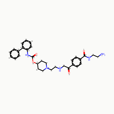 NCCNC(=O)c1ccc(C(=O)CNCCN2CCC(OC(=O)Nc3ccccc3-c3ccccc3)CC2)cc1